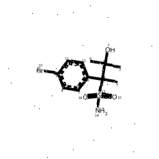 CC(C)(O)C(C)(c1ccc(Br)cc1)S(N)(=O)=O